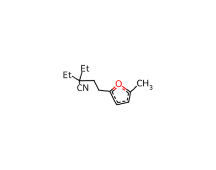 CCC(C#N)(CC)CCc1ccc(C)o1